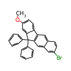 COc1ccc2c(c1)C(c1ccccc1)(c1ccccc1)c1cc3cc(Br)ccc3cc1-2